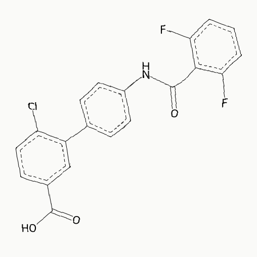 O=C(O)c1ccc(Cl)c(-c2ccc(NC(=O)c3c(F)cccc3F)cc2)c1